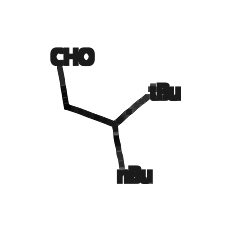 CCCCC(CC=O)C(C)(C)C